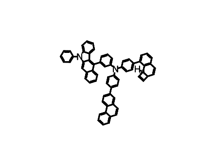 C1=CC2C=C[C@H]2c2c1cccc2-c1ccc(N(c2ccc(-c3ccc4c(ccc5ccccc54)c3)cc2)c2cccc(-c3c4ccccc4cc4c3c3ccccc3n4-c3ccccc3)c2)cc1